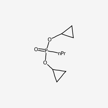 CCCP(=O)(OC1CC1)OC1CC1